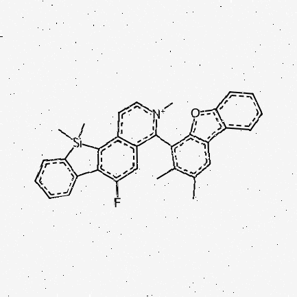 Cc1cc2c(oc3ccccc32)c(-c2c3cc(F)c4c(c3cc[n+]2C)[Si](C)(C)c2ccccc2-4)c1C